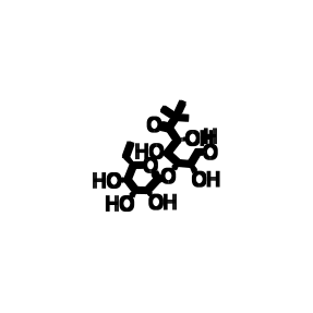 CC[C@H]1OC(O[C@@H]([C@H](O)[C@@H](O)C(=O)C(C)(C)C)[C@H](O)CO)[C@H](O)[C@@H](O)[C@H]1O